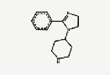 c1ccc(C2=NCCN2C2CCNCC2)cc1